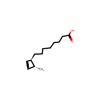 C[C@@H]1C=C[C@H]1CCCCCCCC(=O)O